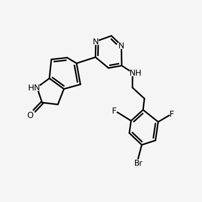 O=C1Cc2cc(-c3cc(NCCc4c(F)cc(Br)cc4F)ncn3)ccc2N1